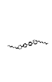 CCCCCCCC1CCC(c2ccc(-c3ccc(C4CCC(CCCCCCC)CO4)cc3)cc2)CC1